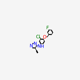 C#Cc1cncnc1Nc1ccc(OCc2cccc(F)c2)c(Cl)c1